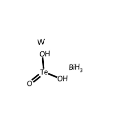 O=[Te](O)O.[BiH3].[W]